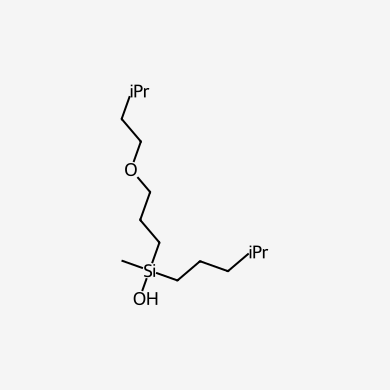 CC(C)CCC[Si](C)(O)CCCOCCC(C)C